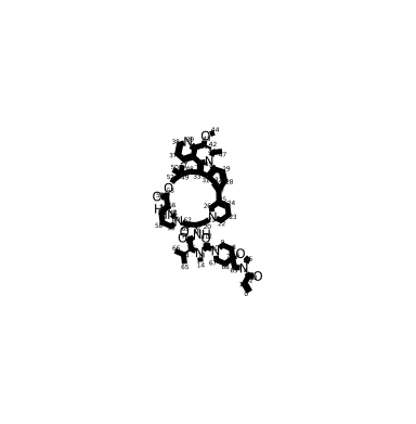 C=CC(=O)N1COC2(CCN(C(=O)N(C)[C@H](C(=O)N[C@H]3CN4CCC=C(C4)c4ccc5c(c4)c(c(-c4cccnc4[C@H](C)OC)n5CC)CC(C)(C)COC(=O)[C@@H]4CCCN(N4)C3=O)C(C)C)CC2)C1